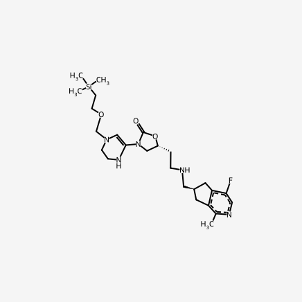 Cc1ncc(F)c2c1C[C@@H](CNCC[C@@H]1CN(C3=CN(COCC[Si](C)(C)C)CCN3)C(=O)O1)C2